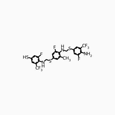 Cc1cc(SCNc2c(F)cc(S)cc2C(F)(F)F)cc(F)c1NCSc1cc(F)c(N)c(C(F)(F)F)c1